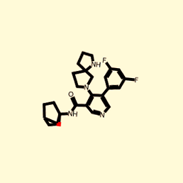 O=C(NC12CCC(CC1)C2)c1cncc(-c2cc(F)cc(F)c2)c1N1CCC2(CCCN2)C1